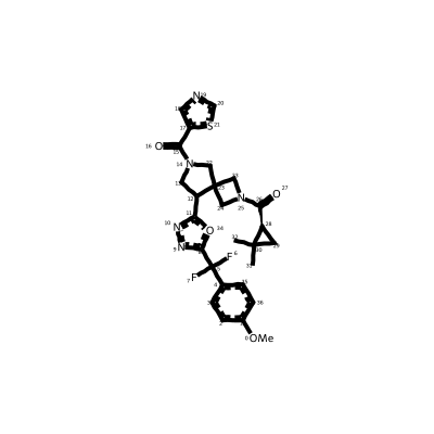 COc1ccc(C(F)(F)c2nnc(C3CN(C(=O)c4cncs4)CC34CN(C(=O)[C@H]3CC3(C)C)C4)o2)cc1